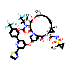 CC[C@@H]1O[C@H](C)CC/C=C\[C@@H]2C[C@@]2(C(=O)NS(=O)(=O)C2(C)CC2)NC(=O)[C@@H]2C[C@@H](Oc3cc(-c4ccc(C(F)(F)F)cc4)nc(-c4nccs4)c3)CN2C(=O)[C@H]1N(C(=O)O)C(C)(C)C(F)(F)F